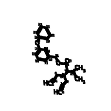 C#CCN(CC#C)C(C(=O)OCc1cccc(Oc2ccccc2)n1)C(C)C